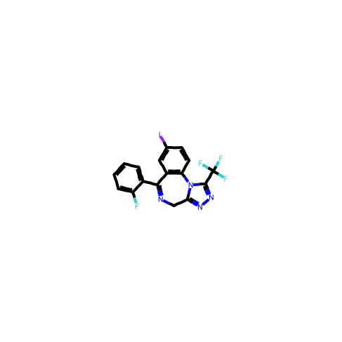 Fc1ccccc1C1=NCc2nnc(C(F)(F)F)n2-c2ccc(I)cc21